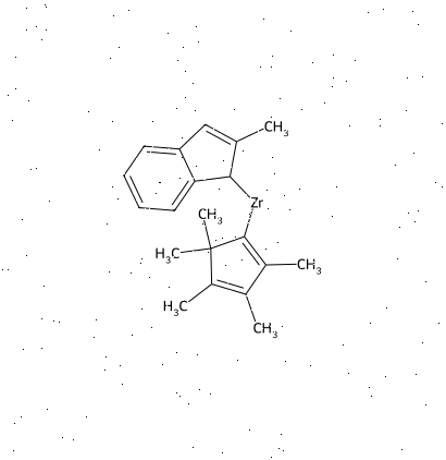 CC1=Cc2ccccc2[CH]1[Zr][C]1=C(C)C(C)=C(C)C1(C)C